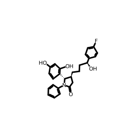 O=C1C[C@H](CCC[C@H](O)c2ccc(F)cc2)[C@@H](c2ccc(O)cc2O)N1c1ccccc1